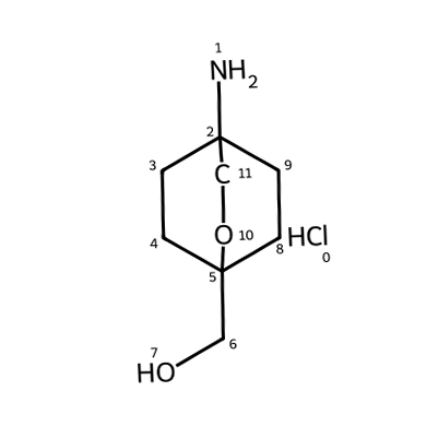 Cl.NC12CCC(CO)(CC1)OC2